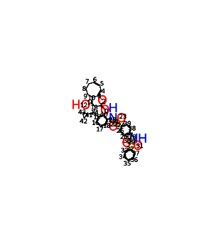 O=C1OC2=CC=CCCCC2C(O)C1C(c1cccc(NS(=O)(=O)c2ccc(NS(=O)(=O)c3ccccc3)cc2)c1)C1CC1